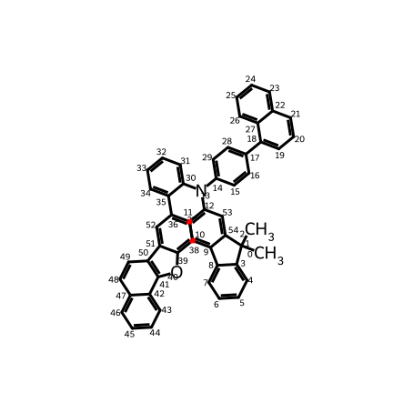 CC1(C)c2ccccc2-c2ccc(N(c3ccc(-c4cccc5ccccc45)cc3)c3ccccc3-c3ccc4oc5c6ccccc6ccc5c4c3)cc21